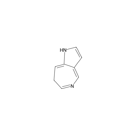 C1=NC=c2cc[nH]c2=CC1